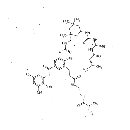 C=C(C)C(=O)OCCNC(=O)CCc1cc(C(=O)Oc2cc(C(C)=O)cc(O)c2O)cc(OC(=O)NCC2(C)CC(NC(=O)NC(=N)NC(=O)C=C(C)C)CC(C)(C)C2)c1O